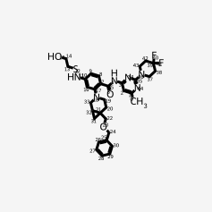 Cc1cc(NC(=O)c2ccc(NSCCO)cc2N2CCC3(COCc4ccccc4)CC3C2)nc(N2CCC(F)(F)CC2)n1